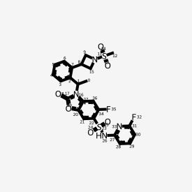 CC(c1ccccc1C1CN(S(C)(=O)=O)C1)n1c(=O)oc2cc(S(=O)(=O)Nc3cccc(F)n3)c(F)cc21